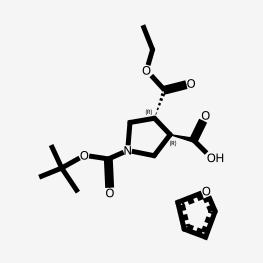 CCOC(=O)[C@H]1CN(C(=O)OC(C)(C)C)C[C@@H]1C(=O)O.c1ccoc1